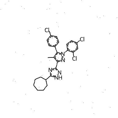 Cc1c(-c2n[nH]c(C3CCCCCC3)n2)nn(-c2ccc(Cl)cc2Cl)c1-c1ccc(Cl)cc1